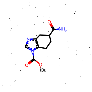 CC(C)(C)OC(=O)n1cnc2c1CCC(C(N)=O)C2